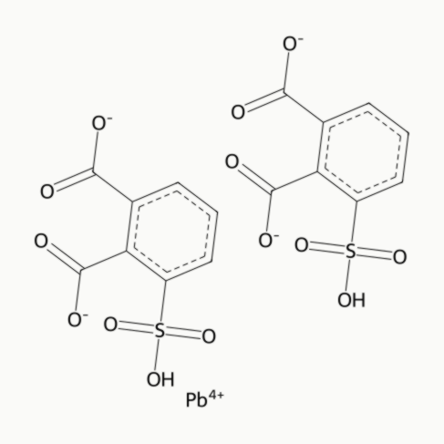 O=C([O-])c1cccc(S(=O)(=O)O)c1C(=O)[O-].O=C([O-])c1cccc(S(=O)(=O)O)c1C(=O)[O-].[Pb+4]